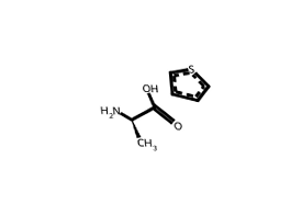 C[C@@H](N)C(=O)O.c1ccsc1